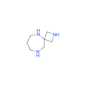 C1CNCC2(CNC2)NC1